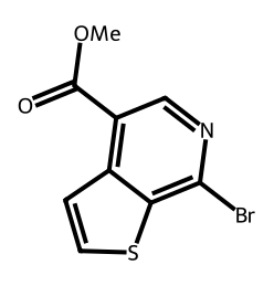 COC(=O)c1cnc(Br)c2sccc12